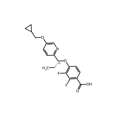 CC[C@@H](Oc1ccc(C(=O)O)c(F)c1F)c1ccc(OCC2CC2)cn1